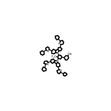 N#Cc1cccc(-c2cc(-n3c4ccc(-c5cccc(-c6ccccc6)n5)cc4c4cc(-c5cccc(-c6ccccc6)n5)ccc43)c(C(F)(F)F)c(-n3c4ccc(-c5cccc(-c6ccccc6)n5)cc4c4cc(-c5cccc(-c6ccccc6)n5)ccc43)c2)c1